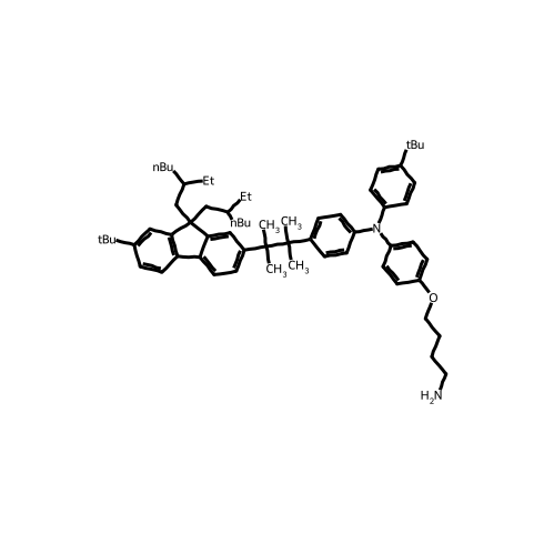 CCCCC(CC)CC1(CC(CC)CCCC)c2cc(C(C)(C)C)ccc2-c2ccc(C(C)(C)C(C)(C)c3ccc(N(c4ccc(OCCCCN)cc4)c4ccc(C(C)(C)C)cc4)cc3)cc21